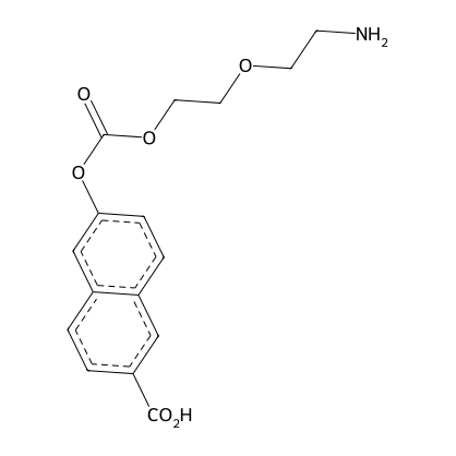 NCCOCCOC(=O)Oc1ccc2cc(C(=O)O)ccc2c1